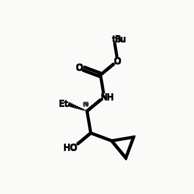 CC[C@H](NC(=O)OC(C)(C)C)C(O)C1CC1